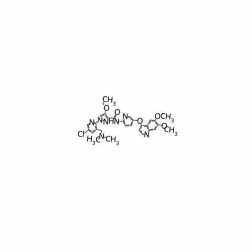 CCOc1cn(-c2ncc(Cl)cc2CN(C)C)nc1C(=O)Nc1ccc(Oc2ccnc3cc(OC)c(OC)cc23)cn1